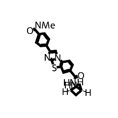 CNC(=O)c1ccc(-c2cn3c(n2)sc2cc(C(=O)N[C@H]4[C@H]5CN[C@@H]4C5)ccc23)cc1